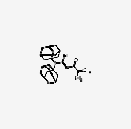 C=C(C)C(=O)OC(CC)P(C12CC3CC(CC(C3)C1)C2)C12CC3CC(CC(C3)C1)C2